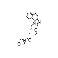 CCOCc1nc2cnc3ccccc3c2n1CCCCCC(=O)N1CCOCC1